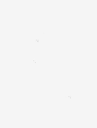 N#Cc1ccc(CN2CCN(C(=O)O)CC2)cc1